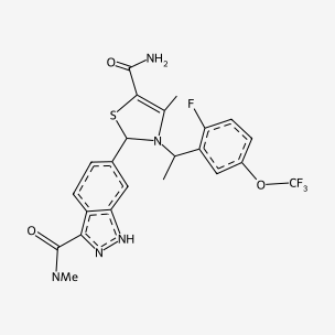 CNC(=O)c1n[nH]c2cc(C3SC(C(N)=O)=C(C)N3C(C)c3cc(OC(F)(F)F)ccc3F)ccc12